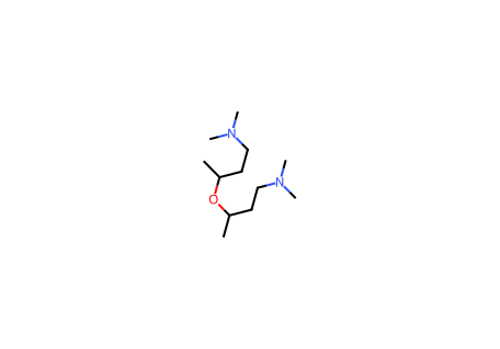 CC(CCN(C)C)OC(C)CCN(C)C